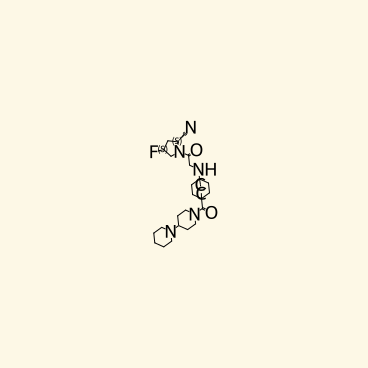 N#C[C@@H]1C[C@H](F)CN1C(=O)CNC12CCC(C(=O)N3CCC(N4CCCCC4)CC3)(CC1)CC2